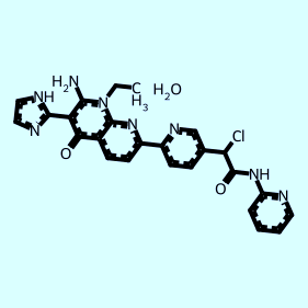 CCn1c(N)c(-c2ncc[nH]2)c(=O)c2ccc(-c3ccc(C(Cl)C(=O)Nc4ccccn4)cn3)nc21.O